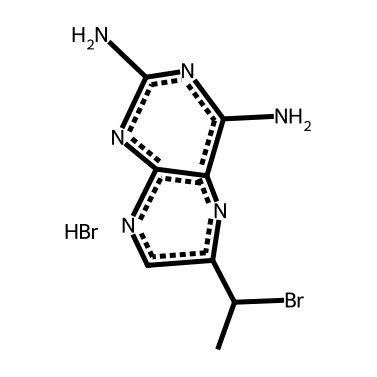 Br.CC(Br)c1cnc2nc(N)nc(N)c2n1